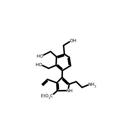 C=Cc1c(C(=O)OCC)[nH]c(CCN)c1-c1ccc(CO)c(CO)c1CO